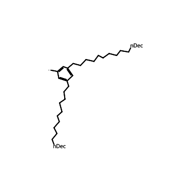 [CH2]c1cc(CCCCCCCCCCCCCCCCCCCC)cc(CCCCCCCCCCCCCCCCCCCC)c1